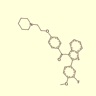 COc1ccc(-c2sc3ccccc3c2C(=O)c2ccc(OCCN3CCCCC3)cc2)cc1F